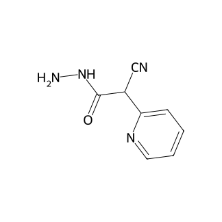 N#CC(C(=O)NN)c1ccccn1